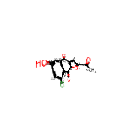 CC(=O)c1cc2c(o1)C(=O)c1c(Cl)cc(O)cc1C2=O